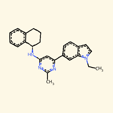 CCn1ccc2ccc(-c3cc(N[C@@H]4CCCc5ccccc54)nc(C)n3)cc21